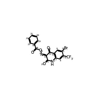 O=C1Nc2cc(C(F)(F)F)c(Br)cc2C(=O)C1=NOC(=O)c1ccccc1